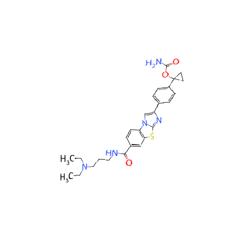 CCN(CC)CCCNC(=O)c1ccc2c(c1)sc1nc(-c3ccc(C4(OC(N)=O)CC4)cc3)cn12